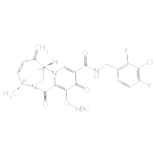 C=C1C=C[C@H](C)N2C[C@H]1n1cc(C(=O)NCc3ccc(F)c(Cl)c3F)c(=O)c(OCCCC)c1C2=O